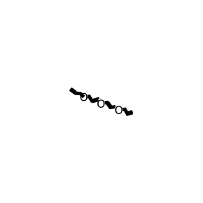 C=CCOCC=COC=CCOCC=C